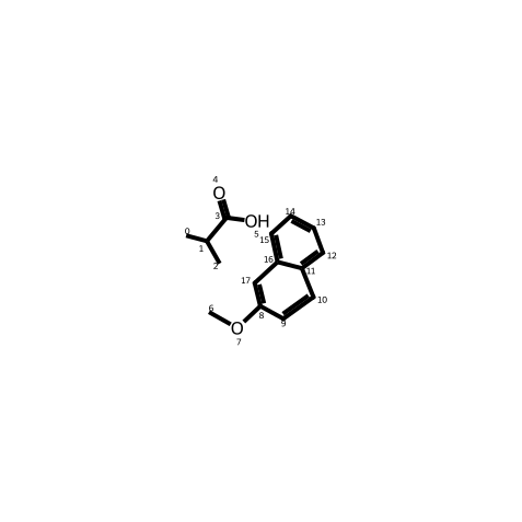 CC(C)C(=O)O.COc1ccc2ccccc2c1